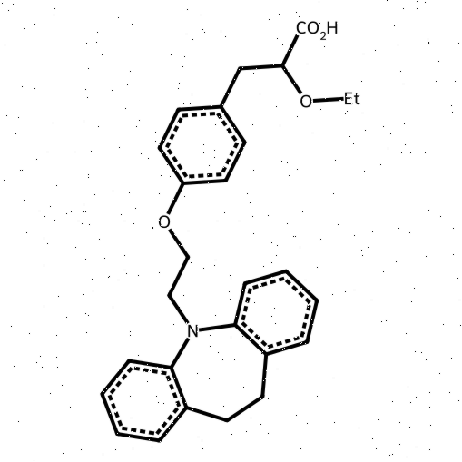 CCOC(Cc1ccc(OCCN2c3ccccc3CCc3ccccc32)cc1)C(=O)O